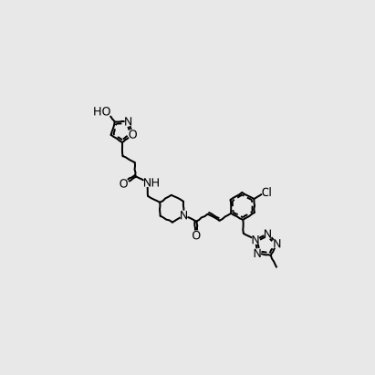 Cc1nnn(Cc2cc(Cl)ccc2C=CC(=O)N2CCC(CNC(=O)CCc3cc(O)no3)CC2)n1